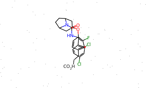 O=C(O)CCc1ccc(OC2CC3CCC(C2)N3C(=O)NCc2ccc(Cl)cc2Cl)c(F)c1